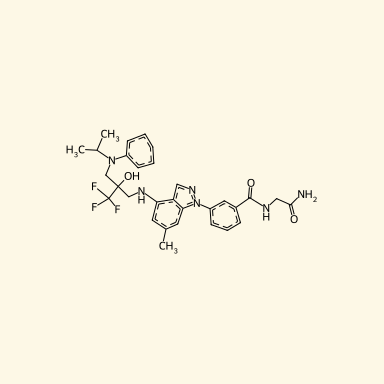 Cc1cc(NCC(O)(CN(c2ccccc2)C(C)C)C(F)(F)F)c2cnn(-c3cccc(C(=O)NCC(N)=O)c3)c2c1